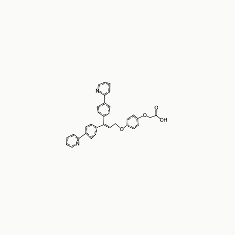 O=C(O)COc1ccc(OCC=C(c2ccc(-c3ccccn3)cc2)c2ccc(-c3ccccn3)cc2)cc1